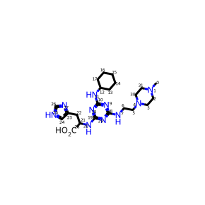 CN1CCN(CCNc2nc(NC3CCCCC3)nc(NC(Cc3c[nH]cn3)C(=O)O)n2)CC1